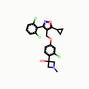 CN1CC(O)(c2ccc(OCc3c(-c4c(Cl)cccc4Cl)noc3C3CC3)cc2Cl)C1